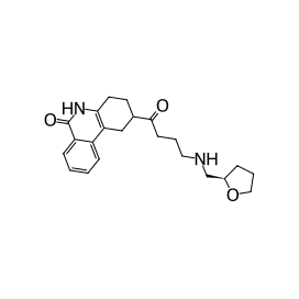 O=C(CCCNC[C@H]1CCCO1)C1CCc2[nH]c(=O)c3ccccc3c2C1